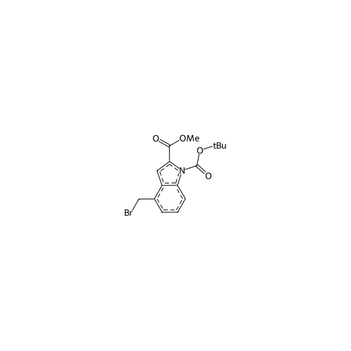 COC(=O)c1cc2c(CBr)cccc2n1C(=O)OC(C)(C)C